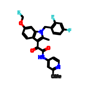 COc1cc(NC(=O)C(=O)c2c(C)n(Cc3ccc(F)cc3F)c3cc(OCF)ccc23)ccn1